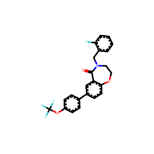 O=C1c2cc(-c3ccc(OC(F)(F)F)cc3)ccc2OCCN1Cc1ccccc1F